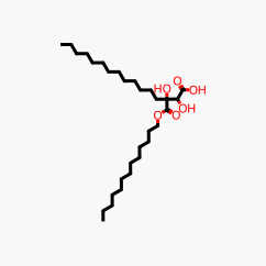 CCCCCCCCCCCCCOC(=O)C(O)(CCCCCCCCCCCCC)C(O)C(=O)O